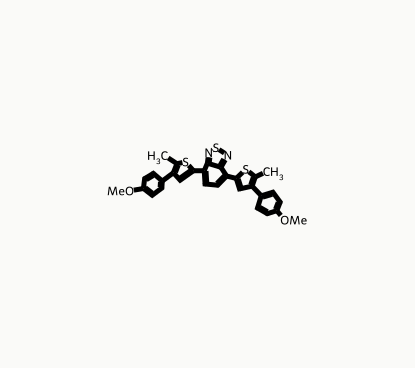 COc1ccc(-c2cc(-c3ccc(-c4cc(-c5ccc(OC)cc5)c(C)s4)c4nsnc34)sc2C)cc1